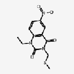 CCn1c(=O)n(CSC)c(=O)c2cc([N+](=O)[O-])ccc21